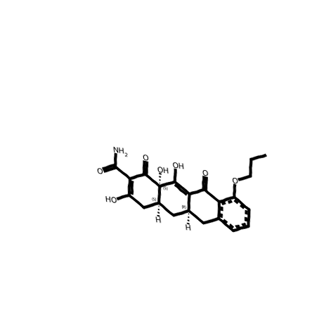 CCCOc1cccc2c1C(=O)C1=C(O)[C@]3(O)C(=O)C(C(N)=O)=C(O)C[C@@H]3C[C@@H]1C2